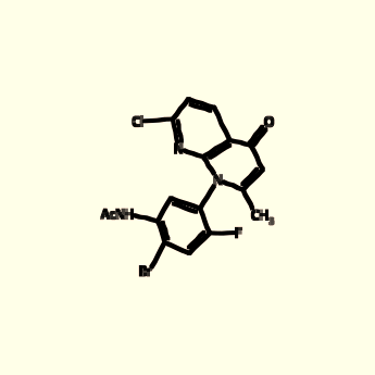 CC(=O)Nc1cc(-n2c(C)cc(=O)c3ccc(Cl)nc32)c(F)cc1Br